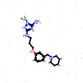 Cn1nc(NCCCOc2cccc(CN3CCCCC3)c2)nc1N